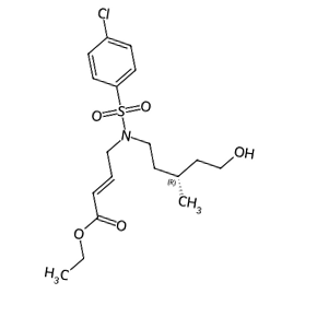 CCOC(=O)C=CCN(CC[C@@H](C)CCO)S(=O)(=O)c1ccc(Cl)cc1